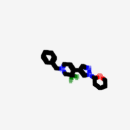 FC1(F)CN(Cc2ccccc2)CC=C1c1cnn(C2CCCCO2)c1